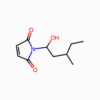 CCC(C)CC(O)N1C(=O)C=CC1=O